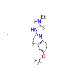 CCNC(=S)NC1=Nc2ccc(OC(F)(F)F)cc2SC1